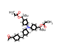 C=CC(=O)OC(CCCC)c1ccc(N(c2ccc(Cc3ccc(C4CO4)cc3)cc2)c2ccc(C(CCCC)OC(=O)C=C)cc2)cc1